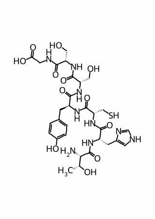 C[C@@H](O)[C@H](N)C(=O)N[C@@H](Cc1c[nH]cn1)C(=O)N[C@@H](CS)C(=O)N[C@@H](Cc1ccc(O)cc1)C(=O)N[C@@H](CO)C(=O)N[C@@H](CO)C(=O)NCC(=O)O